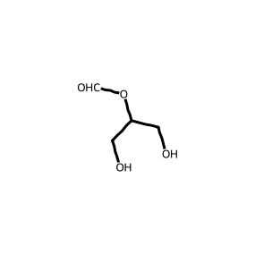 O=COC(CO)CO